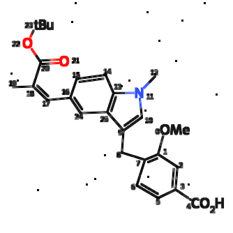 COc1cc(C(=O)O)ccc1Cc1cn(C)c2ccc(/C=C(/C)C(=O)OC(C)(C)C)cc12